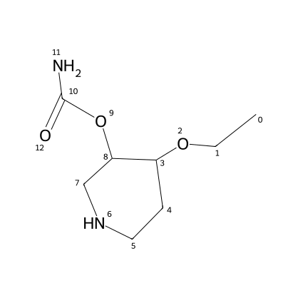 CCOC1CCNCC1OC(N)=O